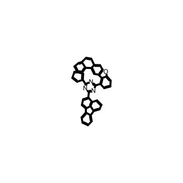 c1ccc(-c2nc(-c3ccc4c5c(cccc35)-c3ccccc3-4)nc(-c3cccc4oc5cc6ccc7ccccc7c6cc5c34)n2)cc1